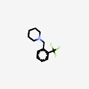 FC(F)(F)c1ccccc1CN1CCCCC1